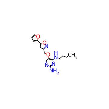 CCCCNc1nc(N)ncc1OCc1cc(-c2ccco2)on1